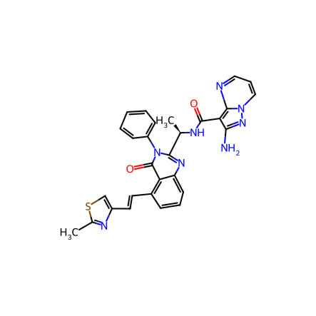 Cc1nc(/C=C/c2cccc3nc([C@@H](C)NC(=O)c4c(N)nn5cccnc45)n(-c4ccccc4)c(=O)c23)cs1